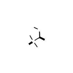 CCOC(=O)P(C)(C)=O